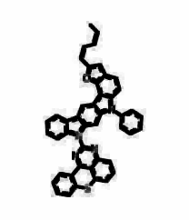 C/C=C\C=C/c1cc2ccc3c(c4cc5c6ccccc6n(-c6nc7c8c(cccc8n6)Sc6ccccc6-7)c5cc4n3-c3ccccc3)c2o1